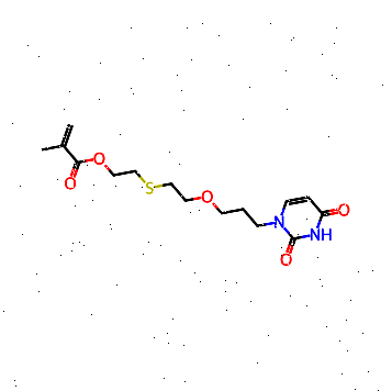 C=C(C)C(=O)OCCSCCOCCCn1ccc(=O)[nH]c1=O